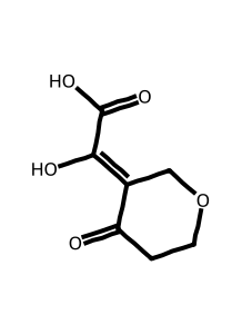 O=C(O)/C(O)=C1\COCCC1=O